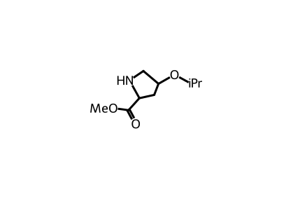 COC(=O)C1CC(OC(C)C)CN1